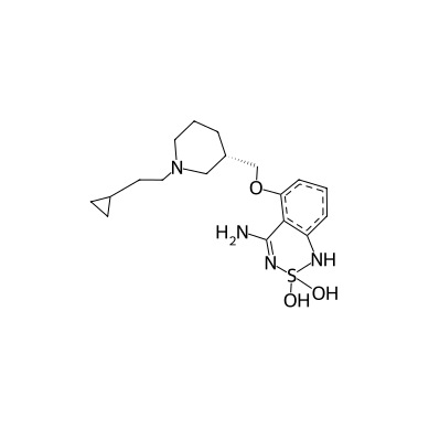 NC1=NS(O)(O)Nc2cccc(OC[C@H]3CCCN(CCC4CC4)C3)c21